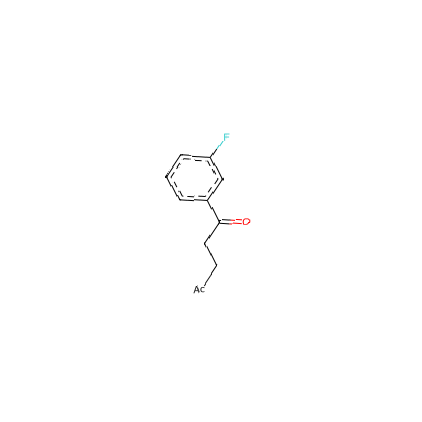 CC(=O)CCC(=O)c1cccc(F)c1